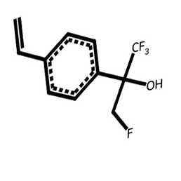 C=Cc1ccc(C(O)(CF)C(F)(F)F)cc1